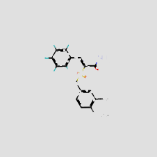 COc1ccc(CS(=O)(=O)/C(=C\c2c(F)c(F)c(F)c(F)c2F)C(N)=O)cc1[N+](=O)[O-]